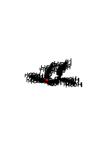 CC(CCc1ccc(OC(=O)[C@H](O)[C@@H](O)[C@H](O)[C@H](O)CO)cc1)(CCc1ccc(OC(=O)[C@H](O)[C@@H](O)[C@H](O)[C@H](O)CO)cc1)OC(=O)CC(O)C(=O)OC(C)(CCc1ccc(OC(=O)[C@H](O)[C@@H](O)[C@H](O)[C@H](O)CO)cc1)CCc1ccc(OC(=O)[C@H](O)[C@@H](O)[C@H](O)[C@H](O)CO)cc1